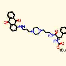 CC(C)(C)OC(=O)N[C@H](Cc1ccccc1)C(=O)NCCCN1CCN(CCCNc2cccc3c2C(=O)c2ccccc2C3=O)CC1